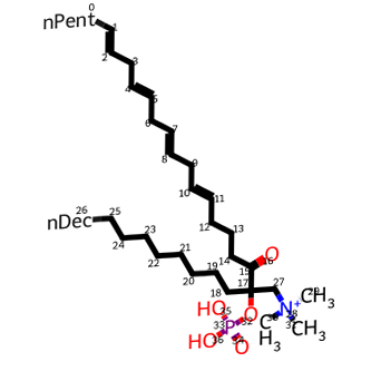 CCCCCC=CCC=CCC=CCC=CCCCC(=O)C(CCCCCCCCCCCCCCCCCC)(C[N+](C)(C)C)OP(=O)(O)O